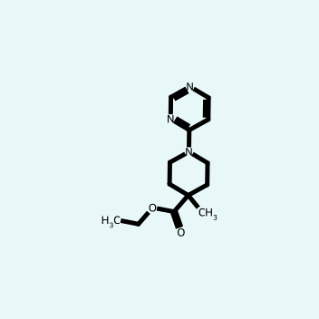 CCOC(=O)C1(C)CCN(c2ccncn2)CC1